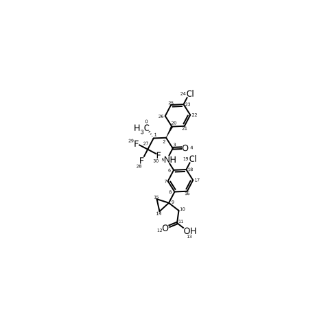 C[C@H]([C@H](C(=O)Nc1cc(C2(CC(=O)O)CC2)ccc1Cl)C1C=CC(Cl)=CC1)C(F)(F)F